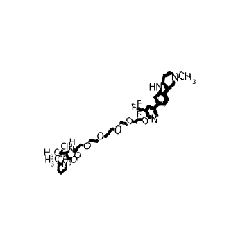 CC1CCCN1C(=O)C(NC(=O)COCCOCCOCCOCCOc1ncc(-c2ccc3c4c([nH]c3c2)C=CN(C)C4)cc1C(F)(F)F)C(C)(C)C